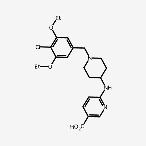 CCOc1cc(CN2CCC(Nc3ccc(C(=O)O)cn3)CC2)cc(OCC)c1Cl